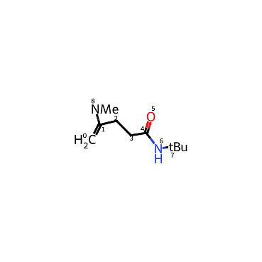 C=C(CCC(=O)NC(C)(C)C)NC